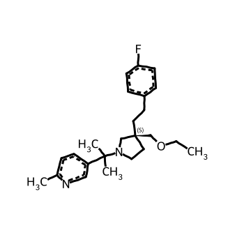 CCOC[C@@]1(CCc2ccc(F)cc2)CCN(C(C)(C)c2ccc(C)nc2)C1